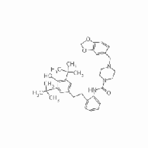 CC(C)(C)c1cc(CCc2ccccc2NC(=O)N2CCN(Cc3ccc4c(c3)OCO4)CC2)cc(C(C)(C)C)c1O